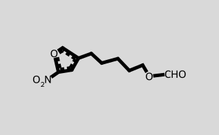 O=COCCCCCc1coc([N+](=O)[O-])c1